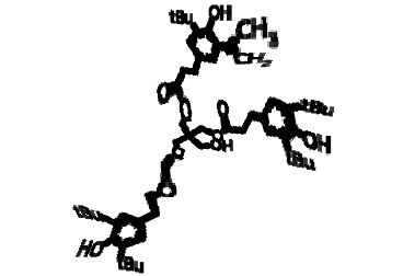 C=C(C)c1cc(CCC(=O)OCC(CO)(COCOCCc2cc(C(C)(C)C)c(O)c(C(C)(C)C)c2)COC(=O)CCc2cc(C(C)(C)C)c(O)c(C(C)(C)C)c2)cc(C(C)(C)C)c1O